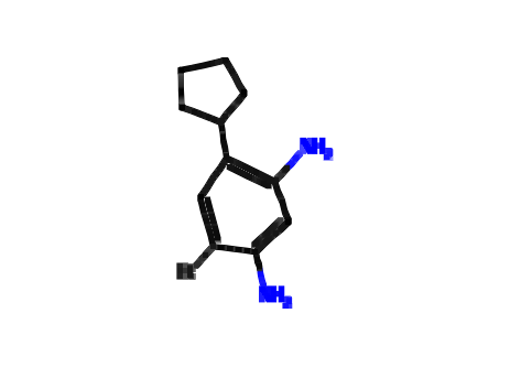 CCc1cc(C2CCCC2)c(N)cc1N